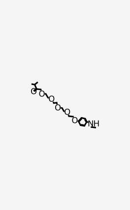 CCNc1ccc(OCCOCCOCCOCCOCC(=O)C(C)C)cc1